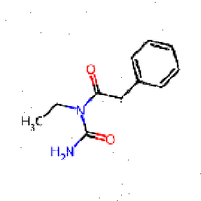 CCN(C(N)=O)C(=O)[CH]c1ccccc1